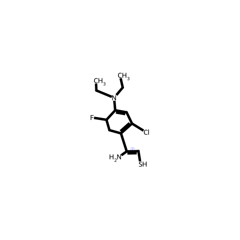 CCN(CC)C1=CC(Cl)=C(/C(N)=C/S)CC1F